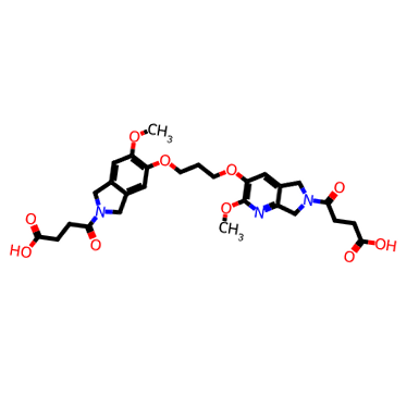 COc1cc2c(cc1OCCCOc1cc3c(nc1OC)CN(C(=O)CCC(=O)O)C3)CN(C(=O)CCC(=O)O)C2